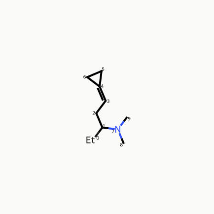 CCC(CC=C1CC1)N(C)C